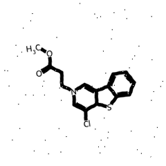 COC(=O)CCN1C=C(Cl)C2Sc3ccccc3C2=C1